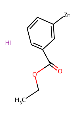 CCOC(=O)c1ccc[c]([Zn])c1.I